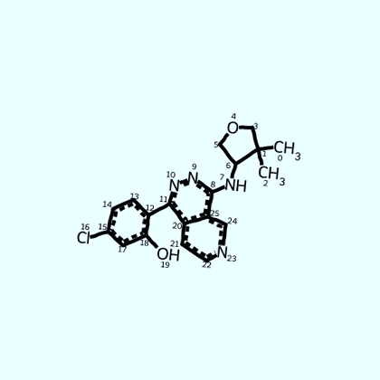 CC1(C)COCC1Nc1nnc(-c2ccc(Cl)cc2O)c2ccncc12